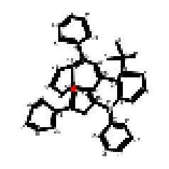 CC(C)(C)c1cccc(N(C2=CC=C(c3ccccc3)C2)c2ccccc2)c1C1=CC(c2ccccc2)=C2C=CCC2C1